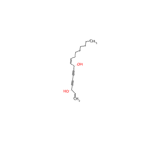 C=C[C@H](O)C#CC#C[C@@H](O)/C=C\CCCCCCC